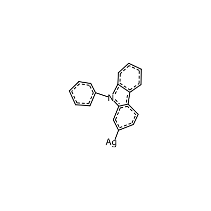 [Ag][c]1ccc2c3ccccc3n(-c3ccccc3)c2c1